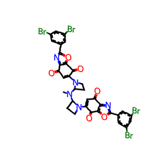 CN(C1CCN1C1=CC(=O)c2nc(-c3cc(Br)cc(Br)c3)oc2C1=O)C1CCN1C1=CC(=O)c2nc(-c3cc(Br)cc(Br)c3)oc2C1=O